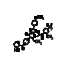 CCc1c(N2CCN(C(=O)c3ncccc3O)CC2)c(=O)n2nc(C3=CC[C@H](OC)CC3)nc2n1CC(=O)Nc1ccc(C(F)(F)F)cc1C